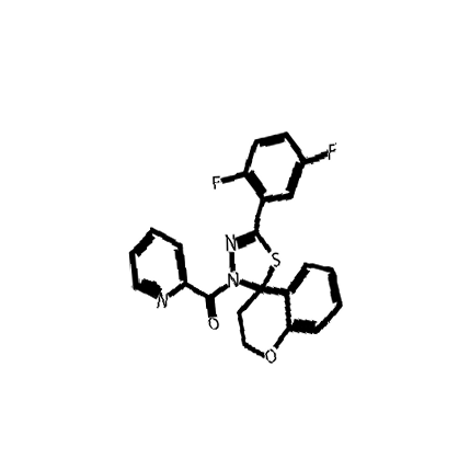 O=C(c1ccccn1)N1N=C(c2cc(F)ccc2F)SC12CCOc1ccccc12